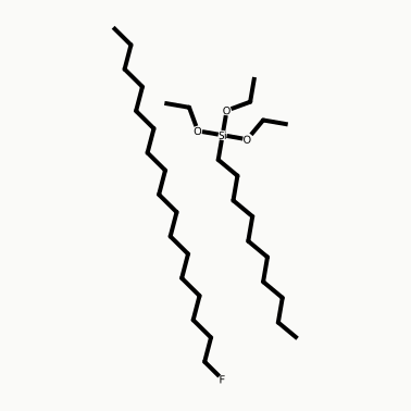 CCCCCCCCCCCCCCCCCF.CCCCCCCCCC[Si](OCC)(OCC)OCC